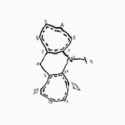 IN1c2ccccc2Cc2ccccc21